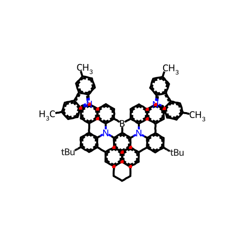 Cc1ccc2c(c1)c1cc(C)ccc1n2-c1ccc2c(c1)N(c1c(-c3ccccc3)cc(C(C)(C)C)cc1-c1ccccc1)c1cc(C3CCCCC3)cc3c1B2c1ccc(-n2c4ccc(C)cc4c4cc(C)ccc42)cc1N3c1c(-c2ccccc2)cc(C(C)(C)C)cc1-c1ccccc1